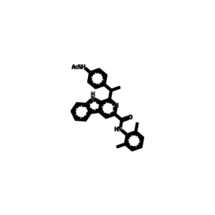 CC(=O)Nc1ccc(C(C)c2nc(C(=O)Nc3c(C)cccc3C)cc3c2[nH]c2ccccc23)cc1